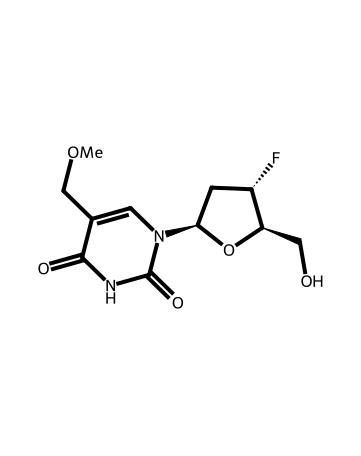 COCc1cn([C@H]2C[C@H](F)[C@@H](CO)O2)c(=O)[nH]c1=O